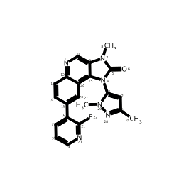 Cc1cc(-n2c(=O)n(C)c3cnc4ccc(-c5cccnc5F)cc4c32)n(C)n1